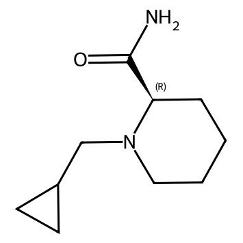 NC(=O)[C@H]1CCCCN1CC1CC1